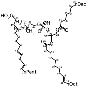 CCCCCC=CCC=CCCCCCCCC(=O)O.CCCCCCCCC=CCCCCCCCC(=O)OC(COC(=O)CCCCCCCCCCCCCCC)COP(=O)(O)OCC[N+](C)(C)C